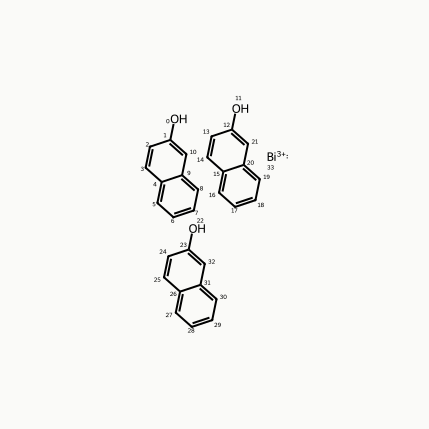 Oc1ccc2ccccc2c1.Oc1ccc2ccccc2c1.Oc1ccc2ccccc2c1.[Bi+3]